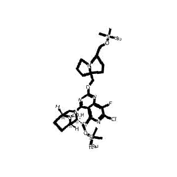 CC(C)(C)[Si](C)(C)OCC1CCC2(COc3nc(N4C[C@H]5CC[C@@H]([C@H]4CO[Si](C)(C)C(C)(C)C)N5C(=O)O)c4c(Cl)nc(Cl)c(F)c4n3)CCCN12